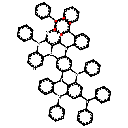 c1ccc(N(c2ccccc2)c2cc3c4c(c2)N(c2ccccc2)c2cc5c(cc2B4c2ccccc2N3c2ccccc2)B2c3cnccc3N(c3ccccc3)c3nc(N(c4ccccc4)c4ccccc4)nc(c32)N5c2ccccc2-c2ccccn2)cc1